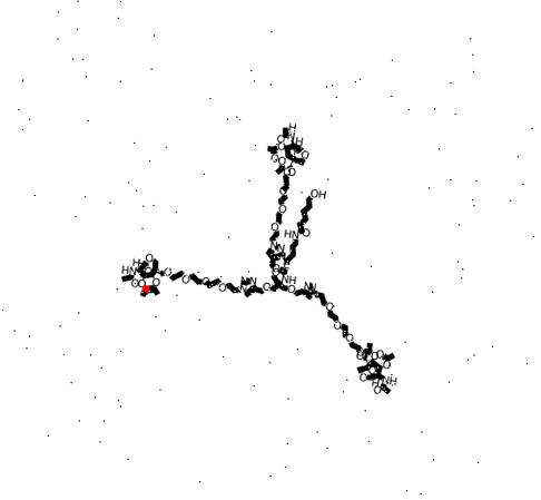 CC(=O)NC1[C@H]2OC[C@](COCCOCCOCCOCCn3cc(COCC(COCc4cn(CCOCCOCCOCCOC[C@@]56CO[C@@H](O5)[C@H](NC(C)=O)[C@@H](OC(C)=O)[C@H]6OC(C)=O)nn4)(COCc4cn(CCOCCOCCOCCOC[C@@]56CO[C@@H](O5)[C@H](NC(C)=O)[C@@H](OC(C)=O)[C@H]6OC(C)=O)nn4)NC(=O)CCCCCNC(=O)CCCCCO)nn3)(O2)[C@H](OC(C)=O)[C@@H]1OC(C)=O